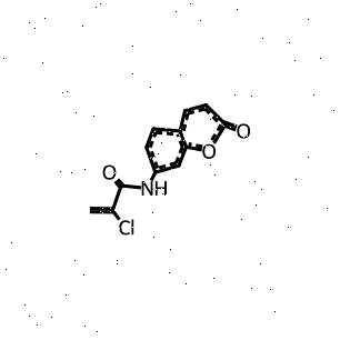 C=C(Cl)C(=O)Nc1ccc2ccc(=O)oc2c1